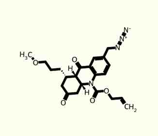 C=CCOC(=O)N1c2ccc(CN=[N+]=[N-])cc2C(=O)[C@H]2[C@@H](CCCOC)CC(=O)C[C@H]21